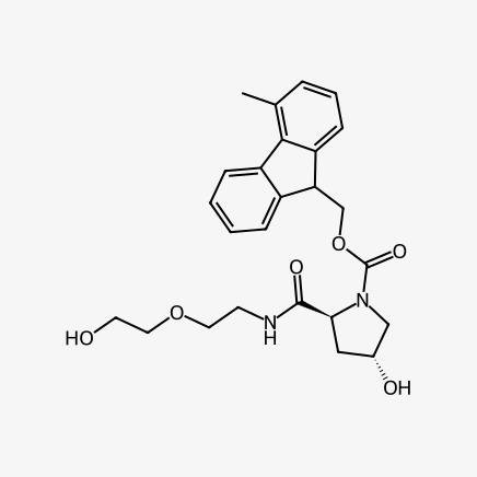 Cc1cccc2c1-c1ccccc1C2COC(=O)N1C[C@H](O)C[C@H]1C(=O)NCCOCCO